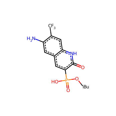 CCC(C)OP(=O)(O)c1cc2cc(N)c(C(F)(F)F)cc2[nH]c1=O